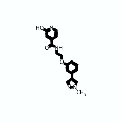 Cn1cc(-c2c[c]cc(OCCNC(=O)c3ccnc(O)c3)c2)cn1